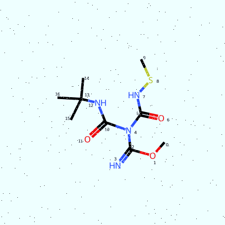 COC(=N)N(C(=O)NSC)C(=O)NC(C)(C)C